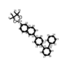 CC1(C)OB(c2ccc3cc(-c4ccc(-c5ccccc5-c5ccccc5)cc4)ccc3c2)OC1(C)C